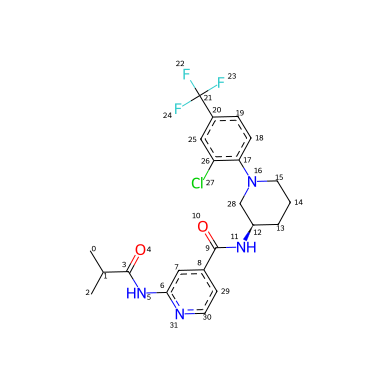 CC(C)C(=O)Nc1cc(C(=O)N[C@@H]2CCCN(c3ccc(C(F)(F)F)cc3Cl)C2)ccn1